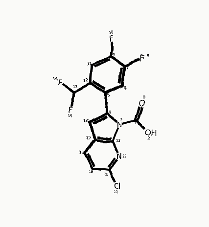 O=C(O)n1c(-c2cc(F)c(F)cc2C(F)F)cc2ccc(Cl)nc21